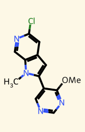 COc1ncncc1-c1cc2cc(Cl)ncc2n1C